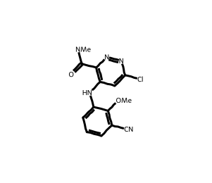 CNC(=O)c1nnc(Cl)cc1Nc1cccc(C#N)c1OC